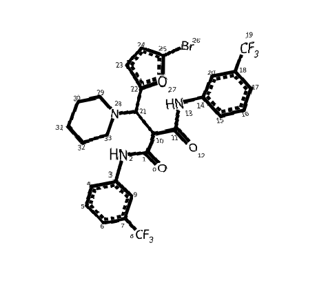 O=C(Nc1cccc(C(F)(F)F)c1)C(C(=O)Nc1cccc(C(F)(F)F)c1)C(c1ccc(Br)o1)N1CCCCC1